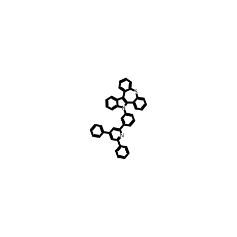 c1ccc(-c2cc(-c3ccccc3)nc(-c3cccc(-n4c5c(c6ccccc64)-c4ccccc4Sc4ccccc4-5)c3)c2)cc1